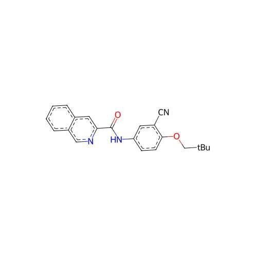 CC(C)(C)COc1ccc(NC(=O)c2cc3ccccc3cn2)cc1C#N